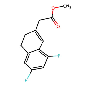 COC(=O)CC1=Cc2c(F)cc(F)cc2CC1